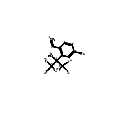 C=Cc1ccc(F)cc1C(O)(C(F)(F)F)C(F)(F)F